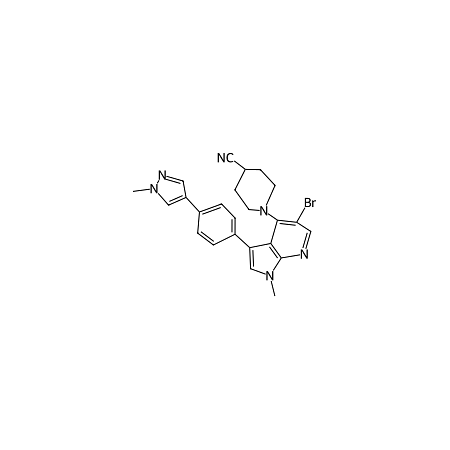 Cn1cc(-c2ccc(-c3cn(C)c4ncc(Br)c(N5CCC(C#N)CC5)c34)cc2)cn1